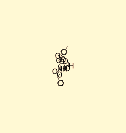 Cc1ccc(S(=O)(=O)O[C@H](CNC(=O)OCc2ccccc2)[C@H]2OC[C@@H]3O[C@H]23)cc1